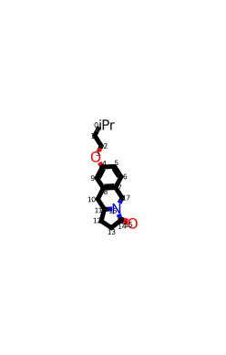 CC(C)CCOc1ccc2c(c1)CC1CCC(=O)N1C2